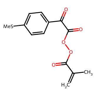 C=C(C)C(=O)OOC(=O)C(=O)c1ccc(SC)cc1